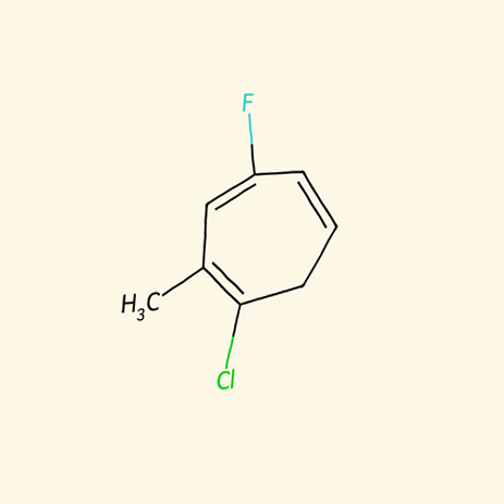 CC1=C(Cl)CC=CC(F)=C1